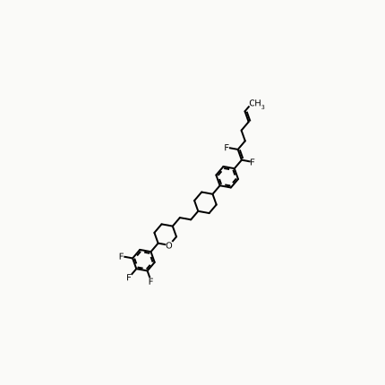 C/C=C/CC/C(F)=C(\F)c1ccc(C2CCC(CCC3CCC(c4cc(F)c(F)c(F)c4)OC3)CC2)cc1